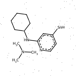 CN(C)C.[SnH][c]1ccnc(NC2CCCCC2)c1